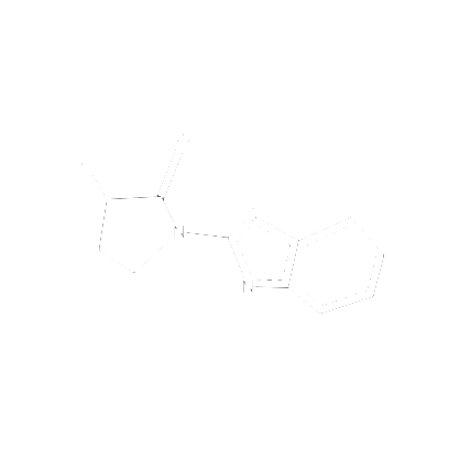 O=C1C(C(F)(F)F)CCN1c1nc2ccccc2s1